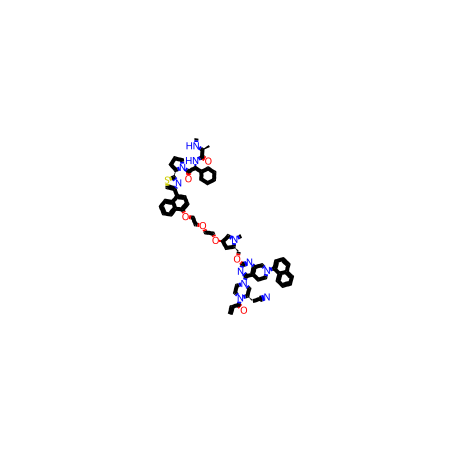 C=CC(=O)N1CCN(c2nc(OC[C@@H]3C[C@@H](OCCOCCOc4ccc(-c5csc([C@@H]6CCCN6C(=O)[C@@H](NC(=O)[C@H](C)NC)C6CCCCC6)n5)c5ccccc45)CN3C)nc3c2CCN(c2cccc4ccccc24)C3)C[C@@H]1CC#N